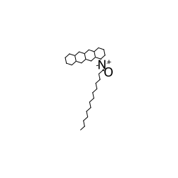 CCCCCCCCCCCCCC(=O)[N+](C)(C)C1CCCC2CC3CC4CCCCC4CC3CC21